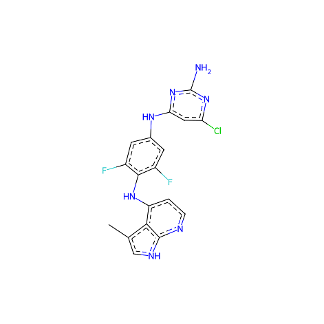 Cc1c[nH]c2nccc(Nc3c(F)cc(Nc4cc(Cl)nc(N)n4)cc3F)c12